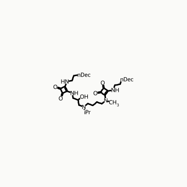 CCCCCCCCCCCCNc1c(NCC(O)CN(CCCCN(C)c2c(NCCCCCCCCCCCC)c(=O)c2=O)C(C)C)c(=O)c1=O